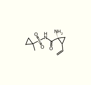 C=CC1C[C@]1(N)C(=O)NS(=O)(=O)C1(C)CC1